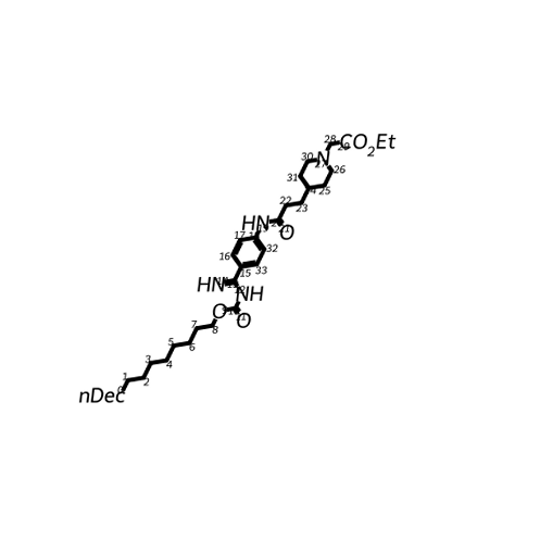 CCCCCCCCCCCCCCCCCCOC(=O)NC(=N)c1ccc(NC(=O)CCC2CCN(CC(=O)OCC)CC2)cc1